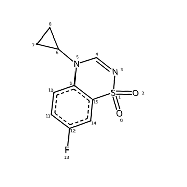 O=S1(=O)N=CN(C2CC2)c2ccc(F)cc21